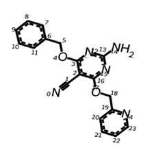 N#Cc1c(OCc2ccccc2)nc(N)nc1OCc1ccccn1